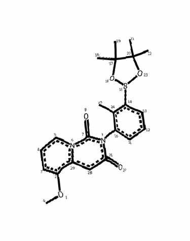 COc1cccn2c(=O)n(-c3cccc(B4OC(C)(C)C(C)(C)O4)c3C)c(=O)cc12